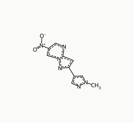 Cn1cc(-c2cc3ncc([N+](=O)[O-])cn3n2)cn1